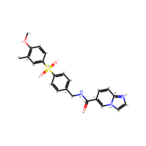 COc1ccc(S(=O)(=O)c2ccc(CNC(=O)c3ccc4nccn4c3)cc2)cc1C